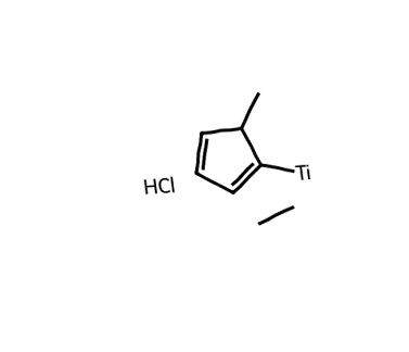 CC.CC1C=CC=[C]1[Ti].Cl